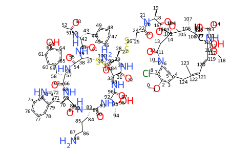 COc1cc2cc(c1Cl)N(C)C(=O)C[C@H](OC(=O)[C@H](C)N(C)C(=O)CCSSC[C@@H](NC(=O)[C@@H]1CSSC[C@H](NC(=O)[C@@H](Cc3ccccc3)NC(C)=O)C(=O)N[C@@H](Cc3ccc(O)cc3)C(=O)N[C@H](Cc3c[nH]c4ccccc34)C(=O)N[C@@H](CCCCN)C(=O)N[C@@H]([C@@H](C)O)C(=O)N1)C(N)=O)[C@]1(C)OC1[C@H](C)[C@@H]1C[C@@](O)(NC(=O)O1)[C@H](OC)/C=C/C=C(\C)C2